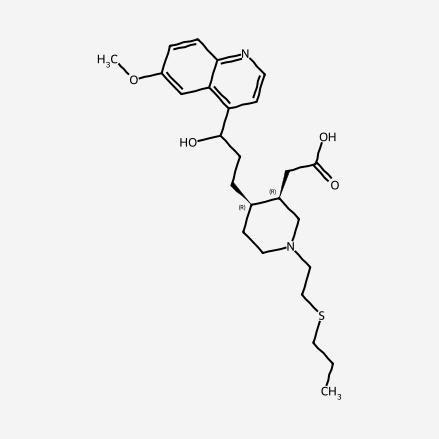 CCCSCCN1CC[C@@H](CCC(O)c2ccnc3ccc(OC)cc23)[C@@H](CC(=O)O)C1